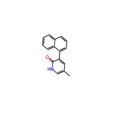 Cc1c[nH]c(=O)c(-c2cccc3ccccc23)c1